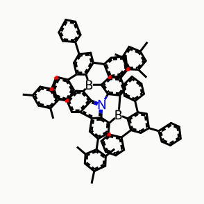 Cc1cc(C)c(-c2cc3c4c(c2)B(c2c(-c5ccccc5)cc(-c5ccccc5)cc2-c2ccccc2)c2cc(-c5c(C)cc(C)cc5C)cc5c6cc(-c7c(C)cc(C)cc7C)cc(c6n-4c25)B3c2c(-c3ccccc3)cc(-c3ccccc3)cc2-c2ccccc2)c(C)c1